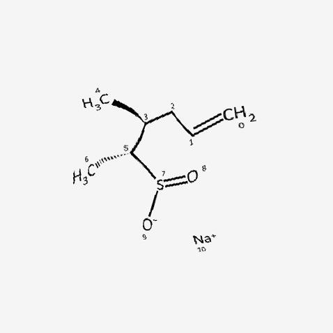 C=CC[C@H](C)[C@@H](C)S(=O)[O-].[Na+]